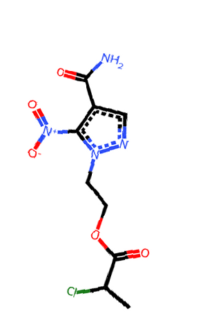 CC(Cl)C(=O)OCCn1ncc(C(N)=O)c1[N+](=O)[O-]